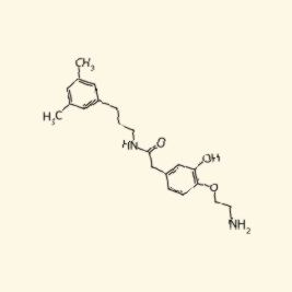 Cc1cc(C)cc(CCCNC(=O)Cc2ccc(OCCN)c(O)c2)c1